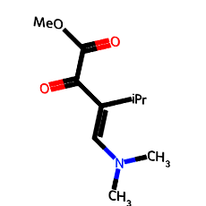 COC(=O)C(=O)/C(=C/N(C)C)C(C)C